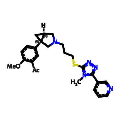 COc1ccc([C@@]23C[C@H]2CN(CCCSc2nnc(-c4cccnc4)n2C)C3)cc1C(C)=O